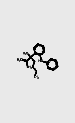 C=C(C)C(C)(CCCC)c1ccccc1Nc1ccccc1